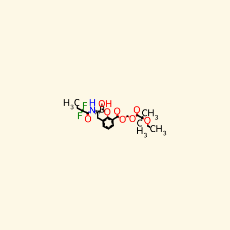 CCOC(C)(C)C(=O)OCOC(=O)c1cccc2c1OB(O)[C@@H](NC(=O)C(F)(F)CC)C2